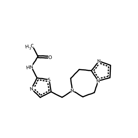 CC(=O)Nc1ncc(CN2CCc3nccn3CC2)s1